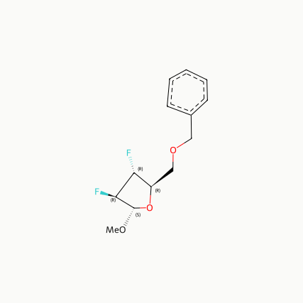 CO[C@H]1O[C@H](COCc2ccccc2)[C@@H](F)[C@@H]1F